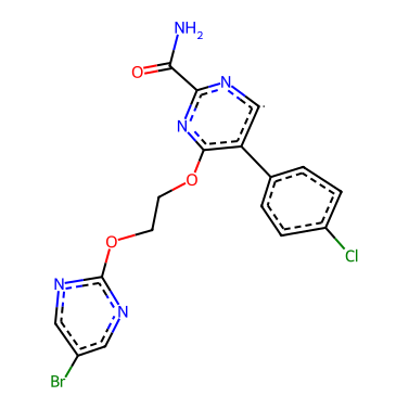 NC(=O)c1n[c]c(-c2ccc(Cl)cc2)c(OCCOc2ncc(Br)cn2)n1